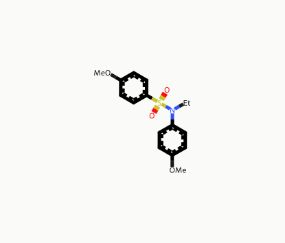 CCN(c1ccc(OC)cc1)S(=O)(=O)c1ccc(OC)cc1